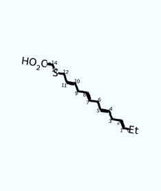 CCC=CCC=CCC=CCC=CCSCC(=O)O